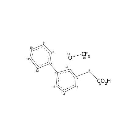 O=C(O)Cc1cccc(-c2ccccc2)c1OC(F)(F)F